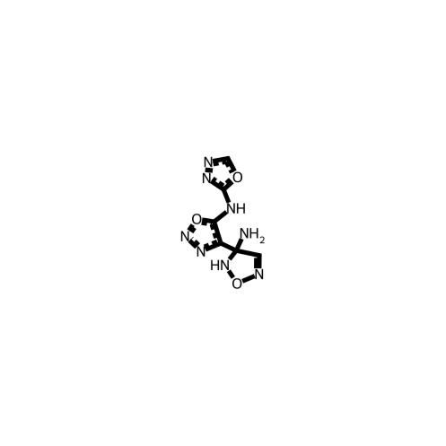 NC1(c2nnoc2Nc2nnco2)C=NON1